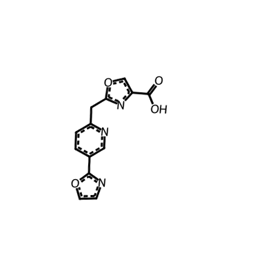 O=C(O)c1coc(Cc2ccc(-c3ncco3)cn2)n1